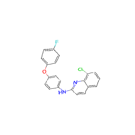 Fc1ccc(Oc2ccc(Nc3ccc4cccc(Cl)c4n3)cc2)cc1